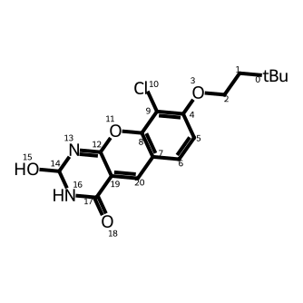 CC(C)(C)CCOc1ccc2c(c1Cl)OC1=NC(O)NC(=O)C1=C2